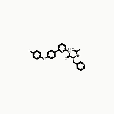 CC(=O)N[C@@H](Cc1cccnc1)C(=O)Nc1cccc(-c2ccc(Oc3ccc(F)cc3)cc2)n1